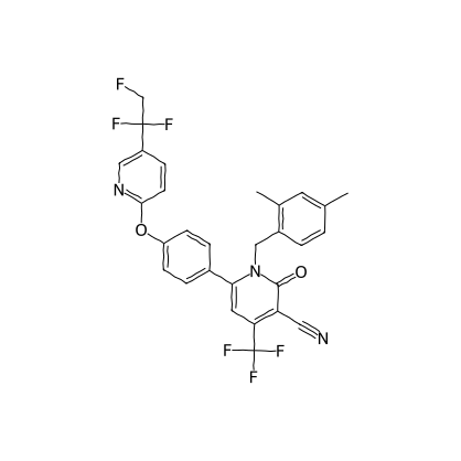 Cc1ccc(Cn2c(-c3ccc(Oc4ccc(C(F)(F)CF)cn4)cc3)cc(C(F)(F)F)c(C#N)c2=O)c(C)c1